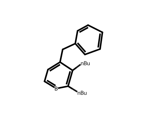 CCCCc1bccc(Cc2ccccc2)c1CCCC